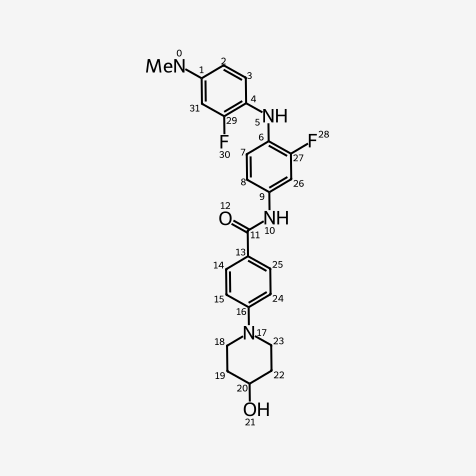 CNc1ccc(Nc2ccc(NC(=O)c3ccc(N4CCC(O)CC4)cc3)cc2F)c(F)c1